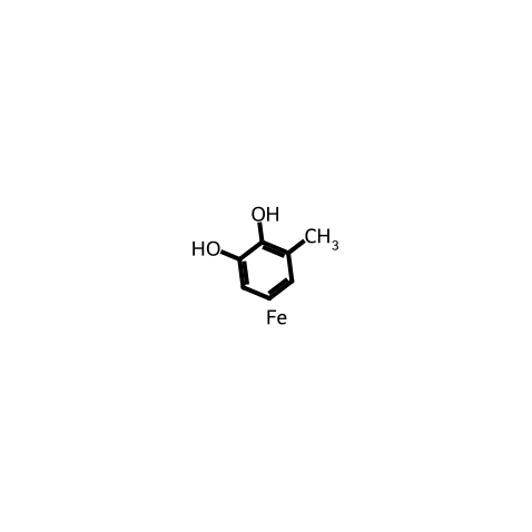 Cc1cccc(O)c1O.[Fe]